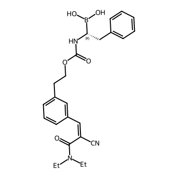 CCN(CC)C(=O)C(C#N)=Cc1cccc(CCOC(=O)N[C@@H](Cc2ccccc2)B(O)O)c1